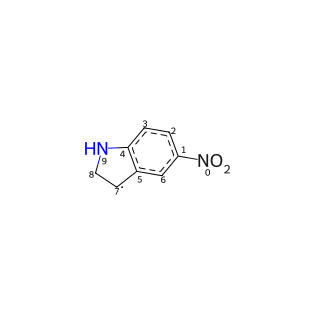 O=[N+]([O-])c1ccc2c(c1)[CH]CN2